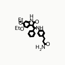 CCOc1cc2c(cc1OCC)/C(=C(/Nc1ccc(CCC(N)=O)cc1)c1ccccc1)C(=O)N2